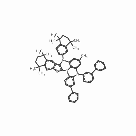 Cc1cc2c3c(c1)N(c1ccc4c(c1)C(C)(C)CCC4(C)C)c1c(sc4cc5c(cc14)C(C)(C)CCC5(C)C)B3c1ccc(-c3ccccc3)cc1N2c1cccc(-c2ccccc2)c1